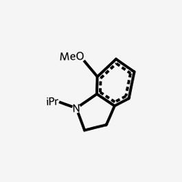 COc1cccc2c1N(C(C)C)CC2